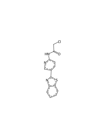 O=C(CCl)Nc1ccc(-c2nc3ccccc3s2)cn1